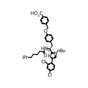 CCCCn1cc(-c2ccc(Cl)cc2Cl)nc1[C@H](Cc1ccc(OCc2ccc(C(=O)O)cc2)cc1)NC(=O)CCCCC(C)C